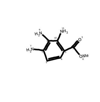 COC(=O)c1ccc(N)c(N)c1N